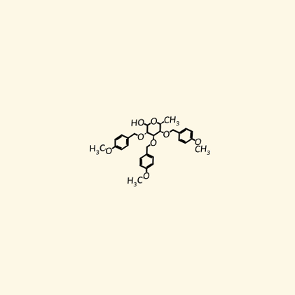 COc1ccc(CO[C@@H]2[C@H](OCc3ccc(OC)cc3)[C@H](C)OC(O)[C@H]2OCc2ccc(OC)cc2)cc1